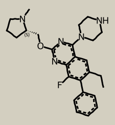 CCc1cc2c(N3CCNCC3)nc(OC[C@@H]3CCCN3C)nc2c(F)c1-c1ccccc1